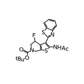 CC(=O)Nc1sc2c(c1-c1nc3ccccc3s1)C(F)CN(C(=O)OC(C)(C)C)C2